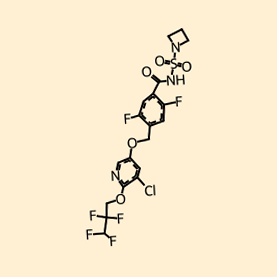 O=C(NS(=O)(=O)N1CCC1)c1cc(F)c(COc2cnc(OCC(F)(F)C(F)F)c(Cl)c2)cc1F